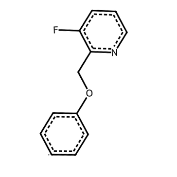 Fc1cccnc1COc1cc[c]cc1